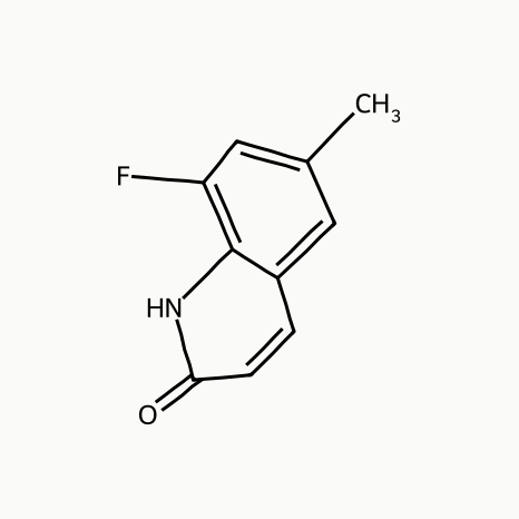 Cc1cc(F)c2[nH]c(=O)ccc2c1